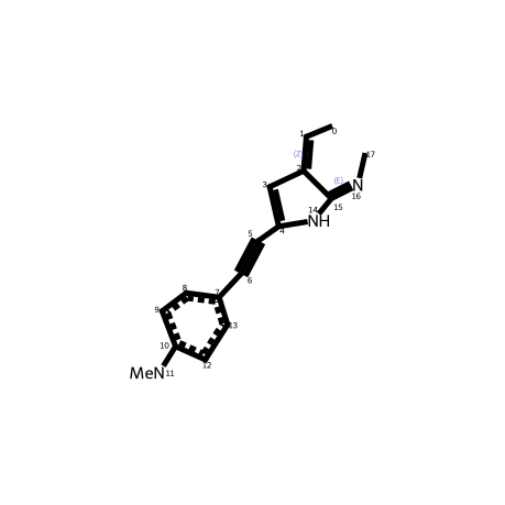 C/C=C1/C=C(C#Cc2ccc(NC)cc2)N/C1=N/C